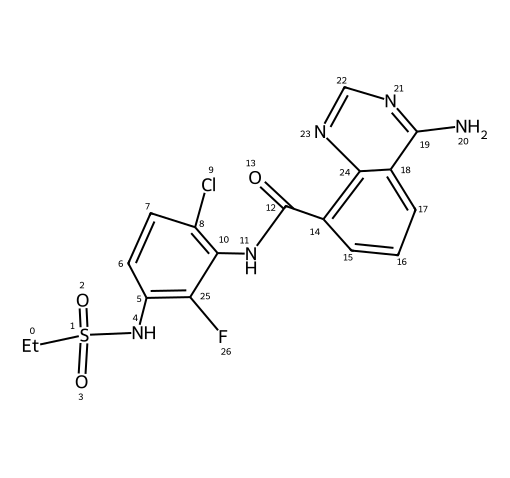 CCS(=O)(=O)Nc1ccc(Cl)c(NC(=O)c2cccc3c(N)ncnc23)c1F